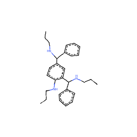 CCCNc1ccc(C(NCCC)c2ccccc2)cc1C(NCCC)c1ccccc1